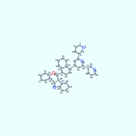 c1cncc(-c2cc(-c3ccc(-c4oc5ccccc5c5nc6ccccc6c4-5)c4ccccc34)cc(-c3cccnc3)n2)c1